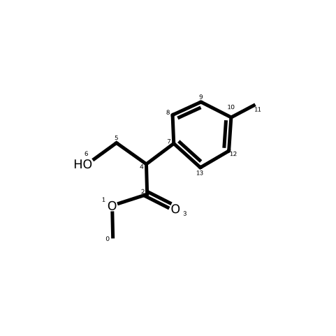 COC(=O)C(CO)c1ccc(C)cc1